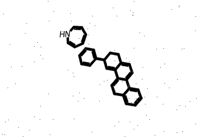 C1=CC=CNC=C1.C1=c2c(ccc3c2=CCc2ccccc2-3)CCC1c1ccccc1